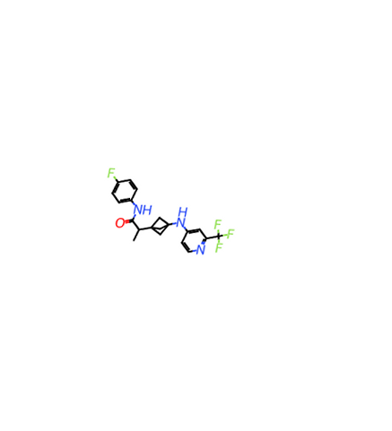 CC(C(=O)Nc1ccc(F)cc1)C12CC(Nc3ccnc(C(F)(F)F)c3)(C1)C2